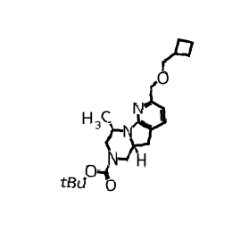 C[C@@H]1CN(C(=O)OC(C)(C)C)C[C@H]2Cc3ccc(COCC4CCC4)nc3N21